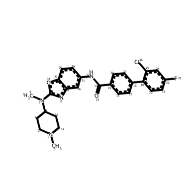 CN1CCC(N(C)c2nc3cc(NC(=O)c4ccc(-c5ccc(F)cc5Cl)cc4)ccc3o2)CC1